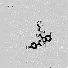 CC(CN1C(=O)c2ccc(F)cc2C1C(=O)NCCCC(F)(F)F)c1ccc(Cl)cc1